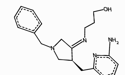 Nc1cccc(C[C@H]2CN(Cc3ccccc3)C/C2=N\CCCO)n1